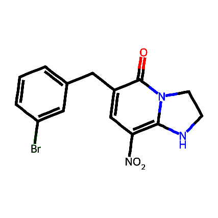 O=c1c(Cc2cccc(Br)c2)cc([N+](=O)[O-])c2n1CCN2